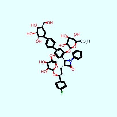 O=C(O)C1O[C@@H](Oc2cc(-c3ccc(C4C[C@H](CO)[C@@H](O)[C@H](O)[C@H]4O)cc3)ccc2[C@@H]2[C@@H](CC[C@H](O[C@@H]3OC=C(O)C(O)C3O)c3ccc(F)cc3)C(=O)N2c2ccccc2)C(O)C(O)[C@@H]1O